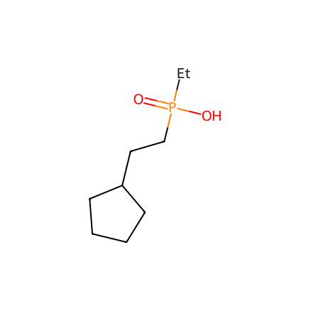 CCP(=O)(O)CCC1CCCC1